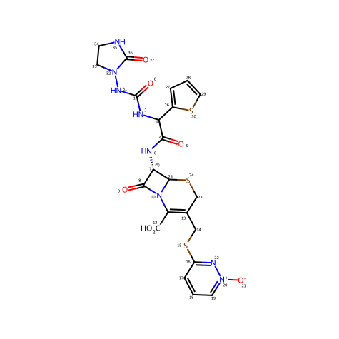 O=C(NC(C(=O)N[C@H]1C(=O)N2C(C(=O)O)=C(CSc3ccc[n+]([O-])n3)CSC12)c1cccs1)NN1CCNC1=O